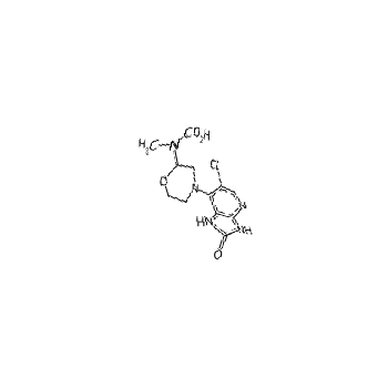 CN(C(=O)O)C1CN(c2c(Cl)cnc3[nH]c(=O)[nH]c23)CCO1